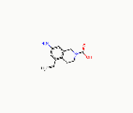 C=Cc1cc(N)cc2c1CCN(C(=O)O)C2